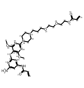 C=CC(=O)Nc1cc(N)nc(Sc2c(OC)nc(N3CCN(CCCOCCOCCOC(=O)C=C)CC3)nc2OC)n1